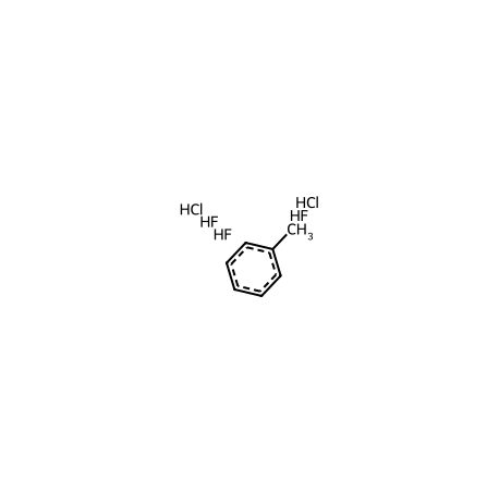 Cc1ccccc1.Cl.Cl.F.F.F